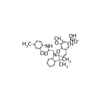 COc1cc([NH+]([O-])O)cc2c1OC1(C=C2)N(CC(=O)Nc2ccc(C)cc2Cl)c2ccccc2C1(C)C